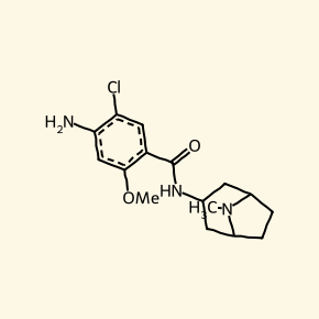 COc1cc(N)c(Cl)cc1C(=O)NC1CC2CCC(C1)N2C